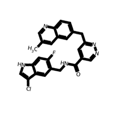 Cc1cnc2ccc(Cc3cc(C(=O)NCc4cc5c(Cl)c[nH]c5cc4F)cnn3)cc2c1